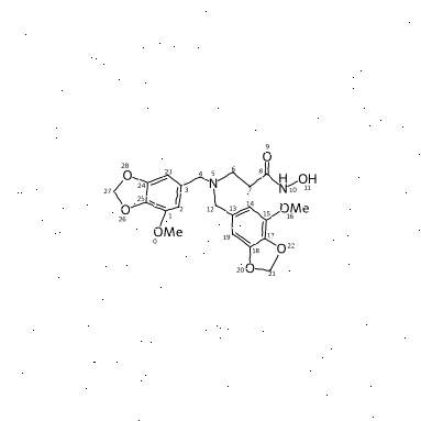 COc1cc(CN(CCC(=O)NO)Cc2cc(OC)c3c(c2)OCO3)cc2c1OCO2